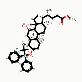 COC(=O)CC[C@@H](C)[C@H]1CC[C@H]2[C@@H]3[C@H](O)CC4C[C@H](O[Si](c5ccccc5)(c5ccccc5)C(C)(C)C)CC[C@]4(C)[C@H]3CC[C@]12C